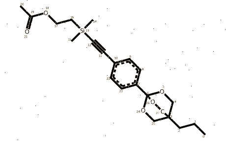 CCCC12COC(c3ccc(C#C[Si](C)(C)CCOC(C)=O)cc3)(OC1)OC2